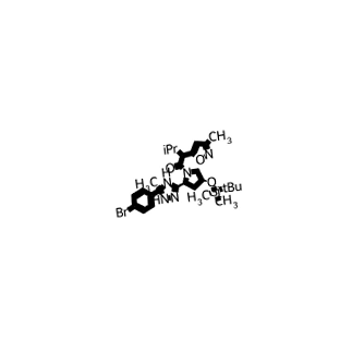 Cc1cc(C(C(=O)N2C[C@H](O[Si](C)(C)C(C)(C)C)C[C@H]2C2=NNC(C)(c3ccc(Br)cc3)N2)C(C)C)on1